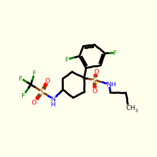 CCCNS(=O)(=O)C1(c2cc(F)ccc2F)CCC(NS(=O)(=O)C(F)(F)F)CC1